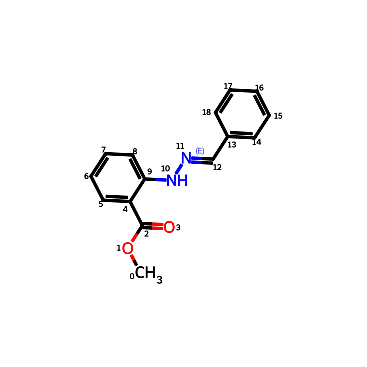 COC(=O)c1ccccc1N/N=C/c1ccccc1